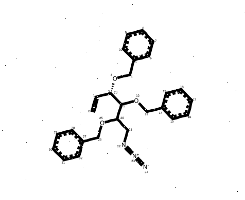 C=C[C@H](OCc1ccccc1)C(OCc1ccccc1)C(CN=[N+]=[N-])OCc1ccccc1